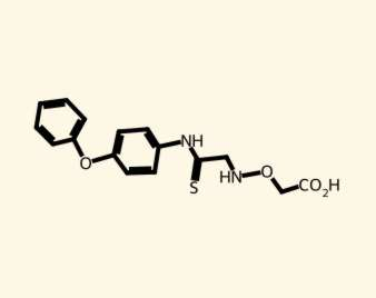 O=C(O)CONCC(=S)Nc1ccc(Oc2ccccc2)cc1